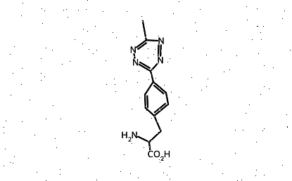 Cc1nnc(-c2ccc(CC(N)C(=O)O)cc2)nn1